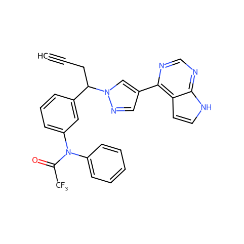 C#CCC(c1cccc(N(C(=O)C(F)(F)F)c2ccccc2)c1)n1cc(-c2ncnc3[nH]ccc23)cn1